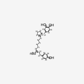 CCCCN(CCCCCCN1CCC[C@@H]1Cc1ccc(O)c(O)c1)CCc1ccc(O)cc1